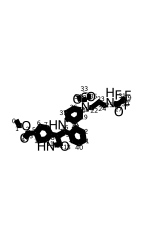 CCOC(=O)c1ccc2c(c1)NC(=O)C2=C(Nc1ccc(N(CCCNC(=O)C(F)(F)F)S(C)(=O)=O)cc1)c1ccccc1